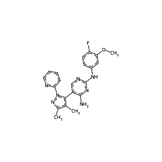 COc1cc(Nc2ncc(-c3c(C)c(C)nn3-c3ccccn3)c(N)n2)ccc1F